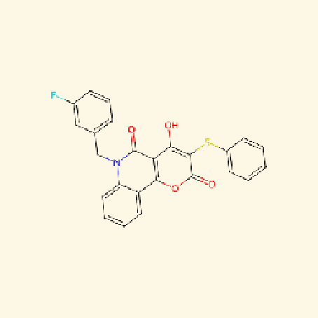 O=c1oc2c(c(O)c1Sc1ccccc1)c(=O)n(Cc1cccc(F)c1)c1ccccc21